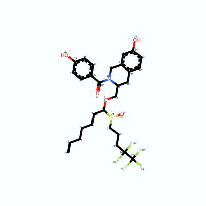 CCCCCCC(OCC1Cc2ccc(O)cc2CN1C(=O)c1ccc(O)cc1)[S+]([O-])CCCC(F)(F)C(F)(F)F